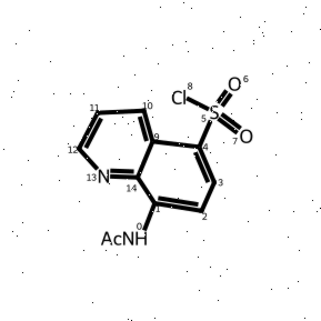 CC(=O)Nc1ccc(S(=O)(=O)Cl)c2cccnc12